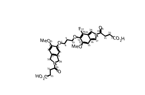 COc1cc2c(cc1OCCCOc1c(OC)cc3cn(C(=O)CCC(=O)O)cc3c1F)CN(C(=O)CCC(=O)O)C2